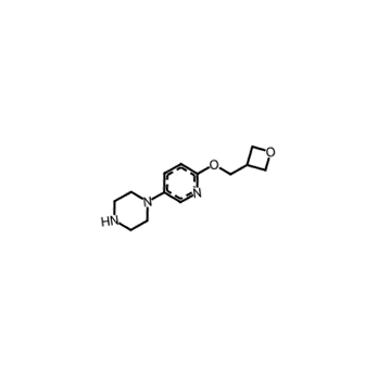 c1cc(OCC2COC2)ncc1N1CCNCC1